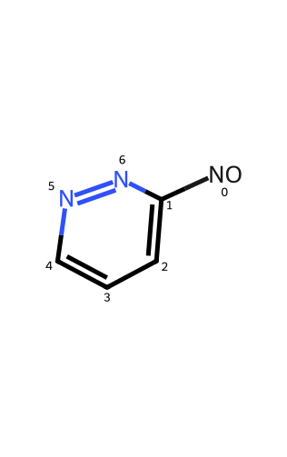 O=Nc1cccnn1